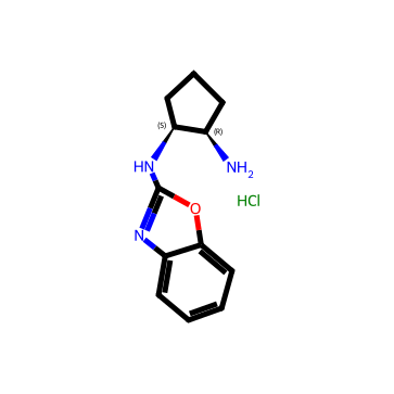 Cl.N[C@@H]1CCC[C@@H]1Nc1nc2ccccc2o1